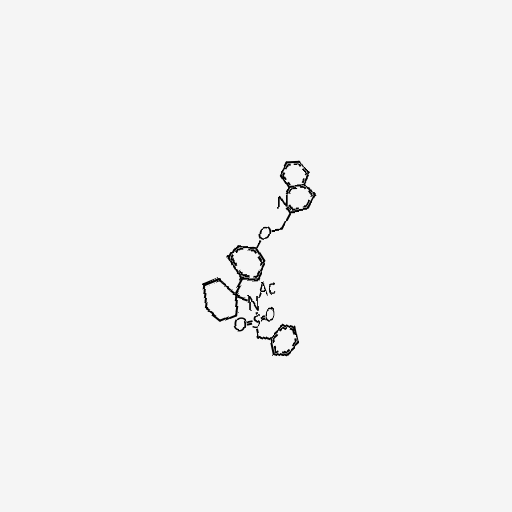 CC(=O)N(C1(c2ccc(OCc3ccc4ccccc4n3)cc2)CCCCC1)S(=O)(=O)Cc1ccccc1